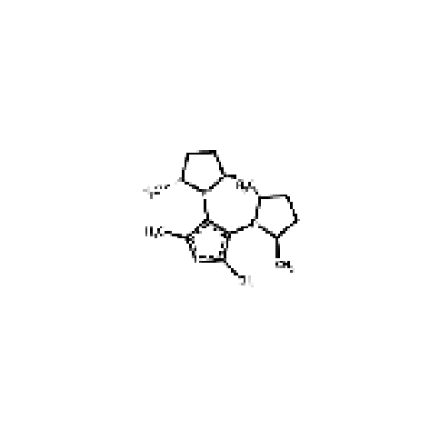 Cc1sc(C)c(P2[C@H](C)CC[C@H]2C)c1P1[C@H](C)CC[C@H]1C